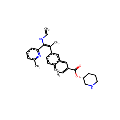 C=CN/C(=C(\C)c1ccc(=C)/c(=C\C(=C/C)C(=O)O[C@@H]2CCCNC2)c1)c1cccc(C)n1